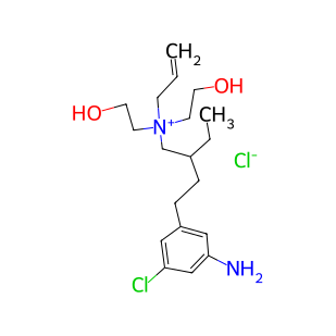 C=CC[N+](CCO)(CCO)CC(CC)CCc1cc(N)cc(Cl)c1.[Cl-]